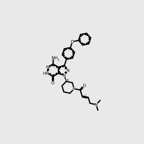 CN(C)C/C=C/C(=O)N1CCC[C@@H](n2nc(-c3ccc(Oc4ccccc4)cc3)c3c(N)n[nH]c(=O)c32)C1